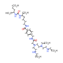 O=C(O)CCC(NC(=O)NC(CCCCNC(=O)c1ccc(CNC(=O)CN(CCNCC(=O)O)CCN(CCNCC(=O)O)CC(=O)O)cc1)C(=O)O)C(=O)O